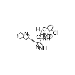 Cc1cccc(Cl)c1C(=O)NNC(=O)c1c[nH]nc1C#Cc1cnc2ccccc2c1